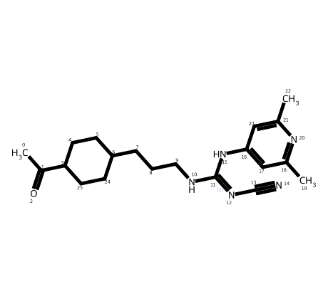 CC(=O)C1CCC(CCCN/C(=N/C#N)Nc2cc(C)nc(C)c2)CC1